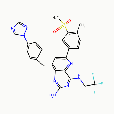 Cc1ccc(-c2cc(Cc3ccc(-n4cncn4)cc3)c3nc(N)nc(NCC(F)(F)F)c3n2)cc1S(C)(=O)=O